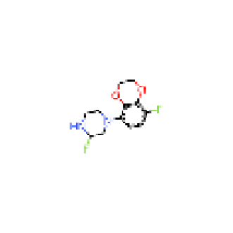 Fc1ccc(N2CCNC(F)C2)c2c1OCCO2